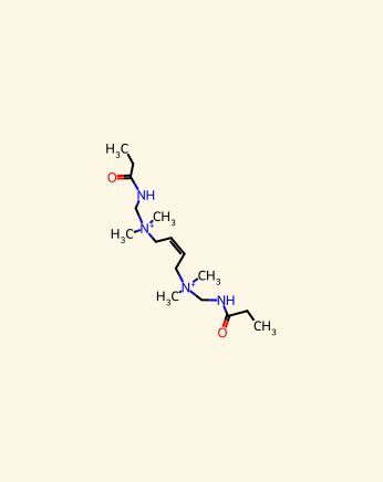 CCC(=O)NC[N+](C)(C)C/C=C\C[N+](C)(C)CNC(=O)CC